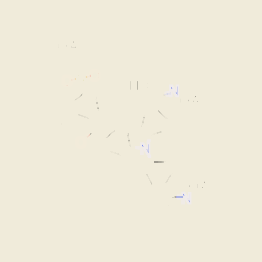 CC(=O)OCCS(=O)(=O)c1ccc(C(=O)c2ccc3c(c2)c2cc(/C(C)=N\OC(C)=O)ccc2n3-c2ccc(/C(C)=N\OC(C)=O)cc2)c(C)c1